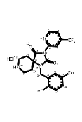 Cl.O=C1N(c2cc(C(F)(F)F)ccn2)C(=O)C2(CCNCC2)N1Cc1cc(F)ccc1F